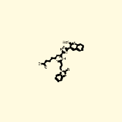 CCC(=O)CCCCC[C@H](NC(=O)CCn1c(CC)nc2ccccc21)c1nnc(-c2cc3ccccc3nc2OC)o1